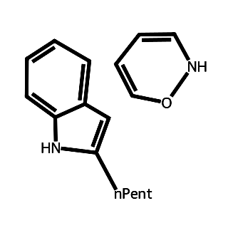 C1=CNOC=C1.CCCCCc1cc2ccccc2[nH]1